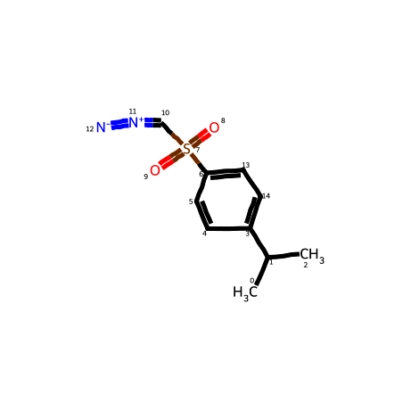 CC(C)c1ccc(S(=O)(=O)C=[N+]=[N-])cc1